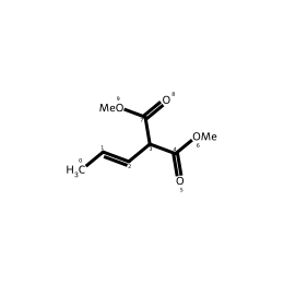 CC=CC(C(=O)OC)C(=O)OC